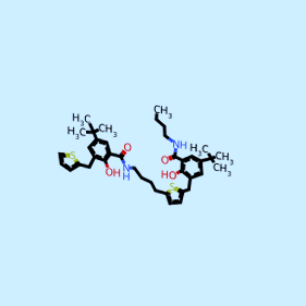 CCCCNC(=O)c1cc(C(C)(C)C)cc(Cc2ccc(CCCCNC(=O)c3cc(C(C)(C)C)cc(Cc4cccs4)c3O)s2)c1O